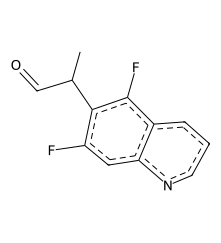 CC(C=O)c1c(F)cc2ncccc2c1F